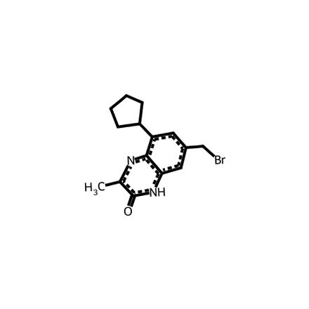 Cc1nc2c(C3CCCC3)cc(CBr)cc2[nH]c1=O